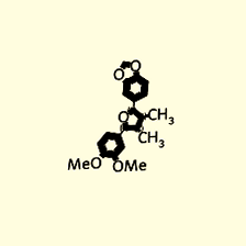 COc1ccc([C@@H]2O[C@H](c3ccc4c(c3)OCO4)[C@@H](C)[C@H]2C)cc1OC